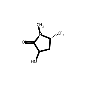 CN1C(=O)C(O)C[C@H]1C(F)(F)F